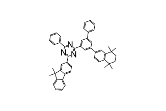 CC1(C)CCC(C)(C)c2cc(-c3cc(-c4ccccc4)cc(-c4nc(-c5ccccc5)nc(-c5ccc6c(c5)C(C)(C)c5ccccc5-6)n4)c3)ccc21